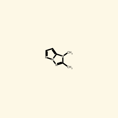 Cc1nn2nccc2n1C